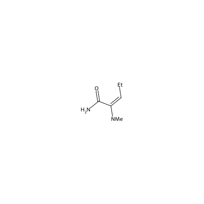 CCC=C(NC)C(N)=O